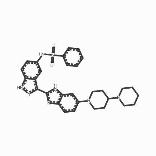 O=S(=O)(Nc1ccc2[nH]nc(-c3nc4ccc(N5CCC(N6CCCCC6)CC5)cc4[nH]3)c2c1)c1ccccc1